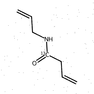 C=C[CH][13C](=O)NCC=C